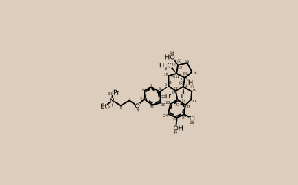 CCN(CCOc1ccc([C@H]2C[C@]3(C)[C@@H](O)CC[C@H]3[C@@H]3CCc4c(ccc(O)c4Cl)[C@H]32)cc1)C(C)C